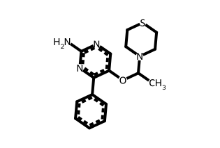 CC(Oc1cnc(N)nc1-c1ccccc1)N1CCSCC1